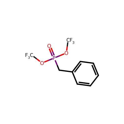 O=P(Cc1ccccc1)(OC(F)(F)F)OC(F)(F)F